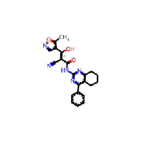 Cc1oncc1/C(O)=C(\C#N)C(=O)Nc1nc2c(c(-c3ccccc3)n1)CCCC2